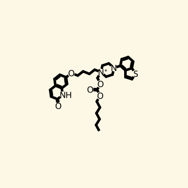 CCCCCCOC(=O)OC[N+]1(CCCCOc2ccc3ccc(=O)[nH]c3c2)CCN(c2cccc3sccc23)CC1